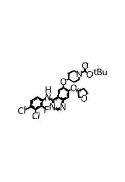 CC(C)(C)OC(=O)N1CCC(Oc2cc3c(Nc4ccc(Cl)c(Cl)c4F)ncnc3cc2O[C@H]2CCOC2)CC1